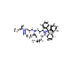 C=C(NCCCN(CCCN(CCCNC)C(c1ccccc1)(c1ccccc1)c1ccccc1)C(=C)C(F)(F)F)C(F)(F)F